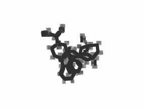 Cc1nc2ccccc2n1C1C[C@H]2CC[C@@H](C1)N2CCC1(c2ccccc2)CN(C(=O)C(C)(C)C)CCO1